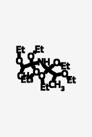 CCOC(C)C(NC(OCC)(OCC)C(C)OCC)(OCC)OCC